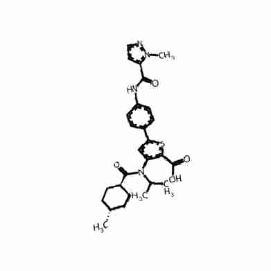 CC(C)N(c1cc(-c2ccc(NC(=O)c3ccnn3C)cc2)sc1C(=O)O)C(=O)[C@H]1CC[C@H](C)CC1